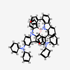 c1ccc(-c2cccc3c4cccc(-c5ccccc5)c4n(B4c5ccccc5-n5c6ccc(N(c7ccccc7)c7ccccc7)cc6c6cc(N(c7ccccc7)c7ccccc7)cc4c65)c23)cc1